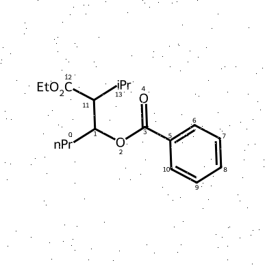 CCCC(OC(=O)c1ccccc1)C(C(=O)OCC)C(C)C